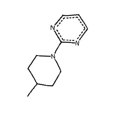 CC1CCN(c2ncccn2)CC1